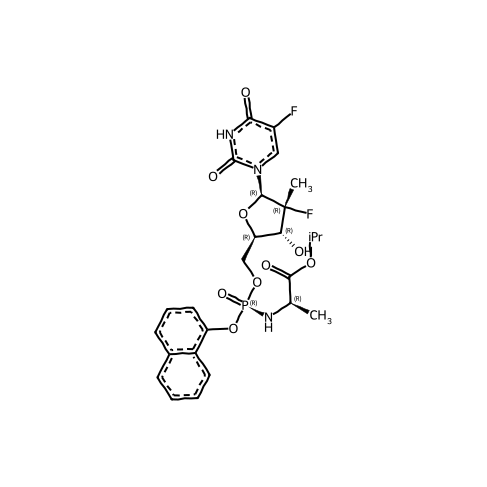 CC(C)OC(=O)[C@@H](C)N[P@@](=O)(OC[C@H]1O[C@@H](n2cc(F)c(=O)[nH]c2=O)[C@](C)(F)[C@@H]1O)Oc1cccc2ccccc12